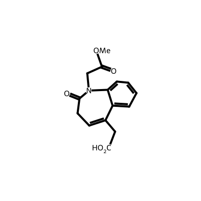 COC(=O)CN1C(=O)CC=C(CC(=O)O)c2ccccc21